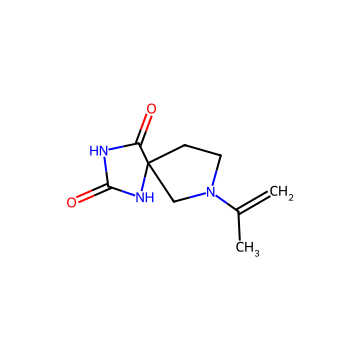 C=C(C)N1CCC2(C1)NC(=O)NC2=O